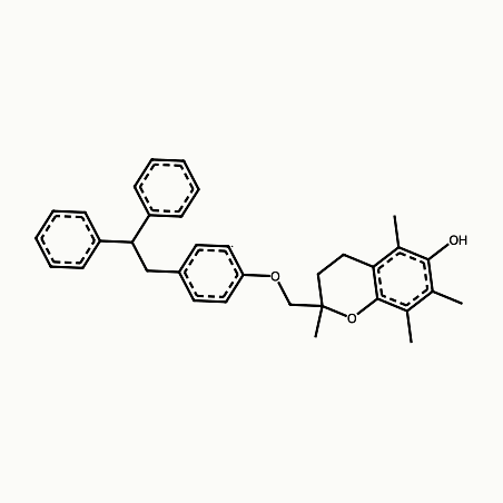 Cc1c(C)c2c(c(C)c1O)CCC(C)(COc1[c]cc(CC(c3ccccc3)c3ccccc3)cc1)O2